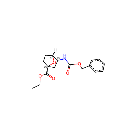 CCOC(=O)[C@@]12CC[C@@H](O1)[C@@H](NC(=O)OCc1ccccc1)C2